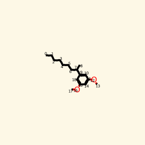 CCCCCCCC(C)c1cc(OC)cc(OC)c1